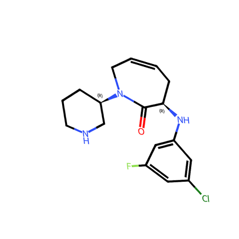 O=C1[C@H](Nc2cc(F)cc(Cl)c2)CC=CCN1[C@@H]1CCCNC1